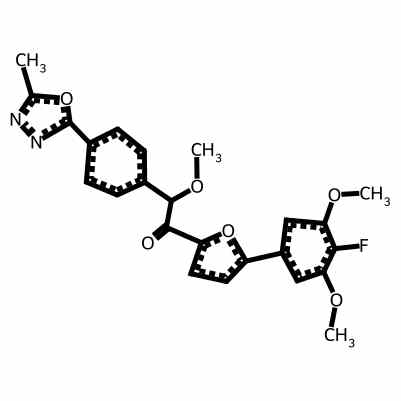 COc1cc(-c2ccc(C(=O)C(OC)c3ccc(-c4nnc(C)o4)cc3)o2)cc(OC)c1F